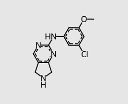 COc1cc(Cl)cc(Nc2ncc3c(n2)CNC3)c1